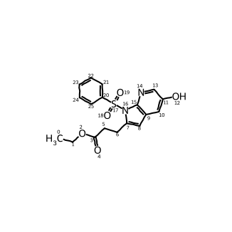 CCOC(=O)CCc1cc2cc(O)cnc2n1S(=O)(=O)c1ccccc1